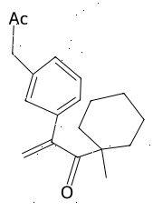 C=C(C(=O)C1(C)CCCCC1)c1cccc(CC(C)=O)c1